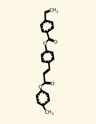 C=Cc1ccc(C(=O)Oc2ccc(/C=C/C(=O)Oc3ccc(C)cc3)cc2)cc1